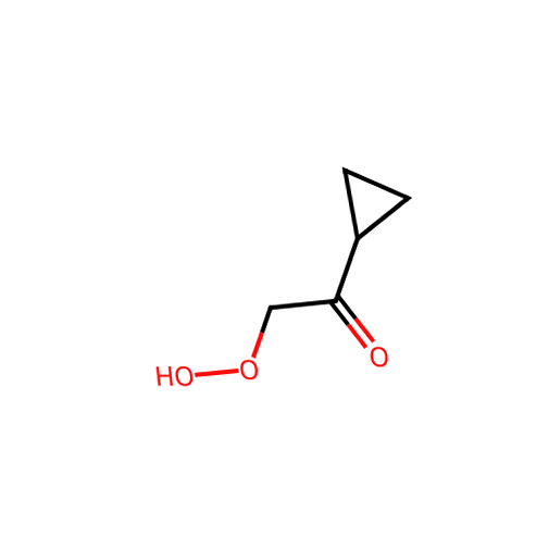 O=C(COO)C1CC1